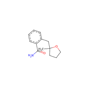 CC1(Cc2ccccc2C(N)=O)CCCO1